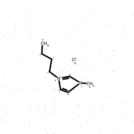 CCCC[n+]1ccn(C)c1.[Cl-]